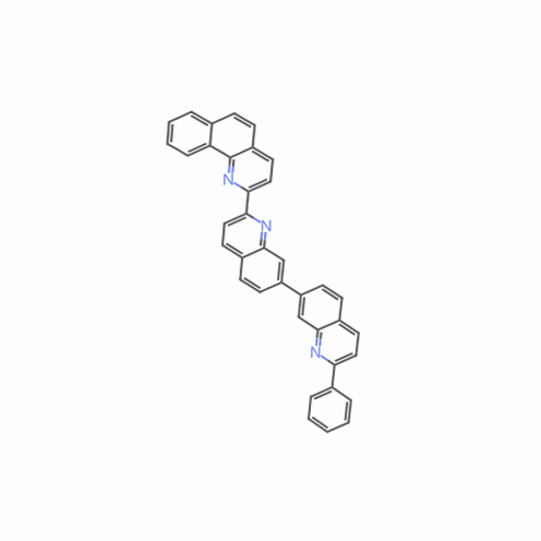 c1ccc(-c2ccc3ccc(-c4ccc5ccc(-c6ccc7ccc8ccccc8c7n6)nc5c4)cc3n2)cc1